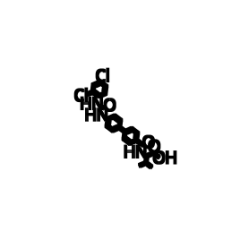 CC(C)[C@H](NC(=O)c1ccc(-c2ccc(NC(=O)Nc3ccc(Cl)cc3Cl)cc2)cc1)C(=O)O